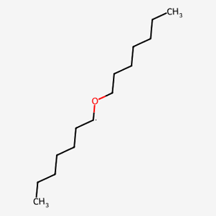 CCCCCC[CH]OCCCCCCC